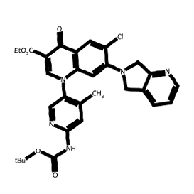 CCOC(=O)c1cn(-c2cnc(NC(=O)OC(C)(C)C)cc2C)c2cc(N3Cc4cccnc4C3)c(Cl)cc2c1=O